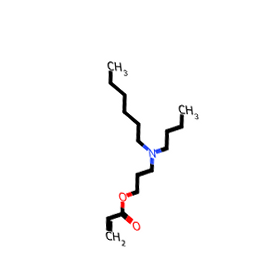 C=CC(=O)OCCCN(CCCC)CCCCCC